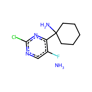 N.NC1(c2nc(Cl)ncc2F)CCCCC1